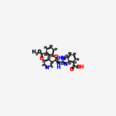 CC(Oc1cncc(C(=O)Nc2nc3c(C(=O)O)cccc3[nH]2)c1)c1ccccc1